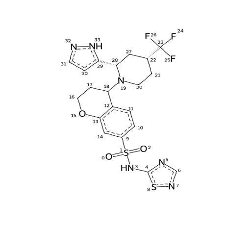 O=S(=O)(Nc1ncns1)c1ccc2c(c1)OCCC2N1CC[C@@H](C(F)(F)F)C[C@H]1c1ccn[nH]1